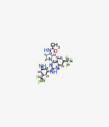 CC(=O)NC1CCN(c2nc(Nc3cc(N)cc(C(F)(F)F)c3)nc3cc(C(F)(F)F)ccc23)C1